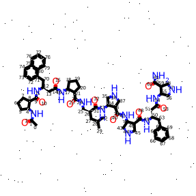 CC(=O)NC1CCCC1C(=O)N[C@H](CC(=O)NC1CCCC1C(=O)NC[C@H](CC(C)C)C(=O)NC1CNCC1C(=O)NC1CNCC1C(=O)N[C@H](CC(=O)NC1CNCC1C(N)=O)Cc1ccccc1)Cc1cccc2ccccc12